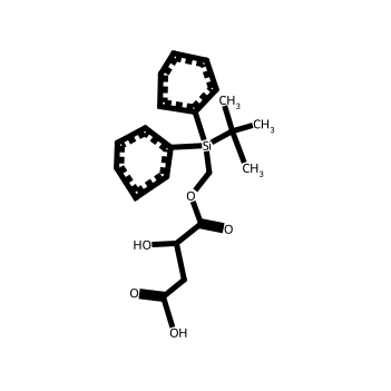 CC(C)(C)[Si](COC(=O)C(O)CC(=O)O)(c1ccccc1)c1ccccc1